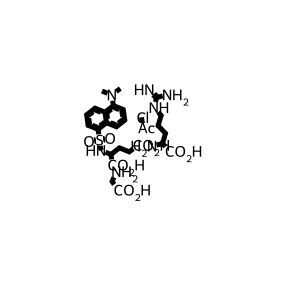 CC(=O)Cl.CN(C)c1cccc2c(S(=O)(=O)NC(CCC(=O)O)C(=O)O)cccc12.N=C(N)NCCCC(N)C(=O)O.NCC(=O)O